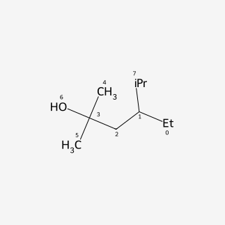 CCC(CC(C)(C)O)C(C)C